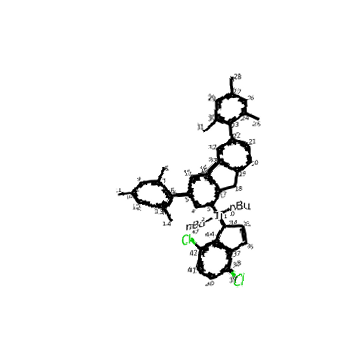 CCC[CH2][Ti]([CH2]CCC)([c]1cc(-c2c(C)cc(C)cc2C)cc2c1Cc1ccc(-c3c(C)cc(C)cc3C)cc1-2)[CH]1C=Cc2c(Cl)ccc(Cl)c21